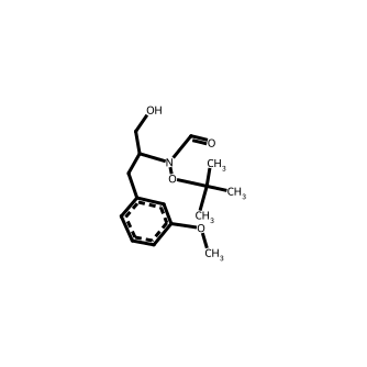 COc1cccc(CC(CO)N(C=O)OC(C)(C)C)c1